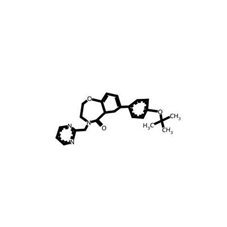 CC(C)(C)Oc1ccc(C2=CC=C3OCCN(Cc4ncccn4)C(=O)C3C2)cc1